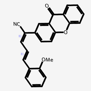 COc1ccccc1/C=C/C=C(/C#N)c1ccc2oc3ccccc3c(=O)c2c1